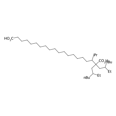 CCCCC(CC)CC(CC(CC)CCCC)(C(=O)O)C(CCCCCCCCCCCCCCCCC(=O)O)C(C)C